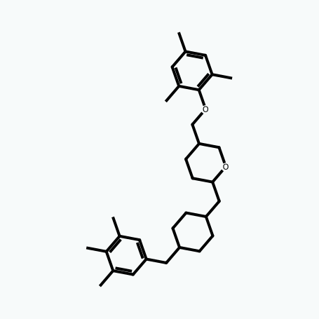 Cc1cc(C)c(OCC2CCC(CC3CCC(Cc4cc(C)c(C)c(C)c4)CC3)OC2)c(C)c1